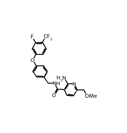 COCc1ccc(C(=O)NCc2ccc(Oc3ccc(C(F)(F)F)c(F)c3)cc2)c(N)n1